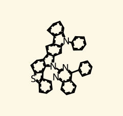 c1ccc(-c2nc(-n3c4cc5c(cc4c4ccc6sc7ccccc7c6c43)c3ccccc3n5-c3ccccc3)nc3ccccc23)cc1